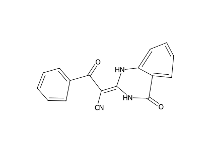 N#C/C(C(=O)c1ccccc1)=C1\NC(=O)c2ccccc2N1